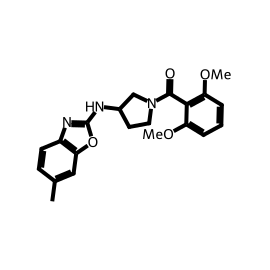 COc1cccc(OC)c1C(=O)N1CCC(Nc2nc3ccc(C)cc3o2)C1